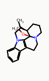 CC[C@]12CCCN3CCc4c(n(c5ccccc45)CC1)[C@@]32OC